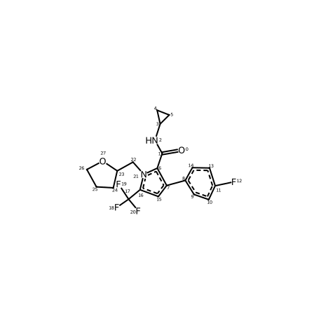 O=C(NC1CC1)c1c(-c2ccc(F)cc2)cc(C(F)(F)F)n1CC1CCCO1